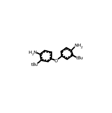 CC(C)(C)c1cc(Oc2ccc(N)c(C(C)(C)C)c2)ccc1N